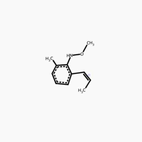 C/C=C\c1cccc(C)c1NOC